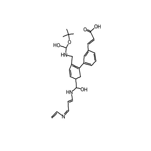 C=C/N=C\C=C\NC(O)C1C=CC(CNC(O)OC(C)(C)C)=C(c2cccc(/C=C/C(=O)O)c2)C1